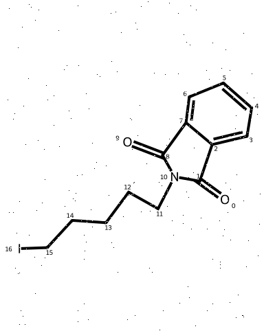 O=C1c2ccccc2C(=O)N1CCCCCI